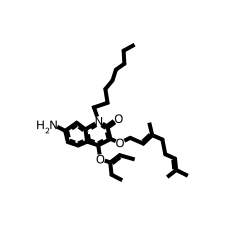 CC=C(CC)Oc1c(OC/C=C(\C)CCC=C(C)C)c(=O)n(CCCCCCCC)c2cc(N)ccc12